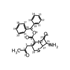 CC(=O)CC1=C(C(=O)OC(c2ccccc2)c2ccccc2)N2C(=O)C(N)C2SC1